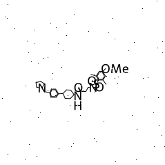 COc1cc(C)c(S(=O)(=O)N(C)CCC(=O)NC2CCC(c3ccc(CN4CCCC4)cc3)CC2)c(C)c1